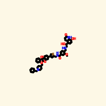 COc1cc(C(=O)NCc2cc(-c3ccc([C@](O)(C(=O)OCC4CCN(Cc5ccccc5)CC4)c4ccccc4)cc3)cs2)ccc1CNC[C@H](O)c1ccc(O)c2[nH]c(=O)ccc12